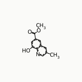 COC(=O)c1cc(O)c2ncc(C)cc2c1